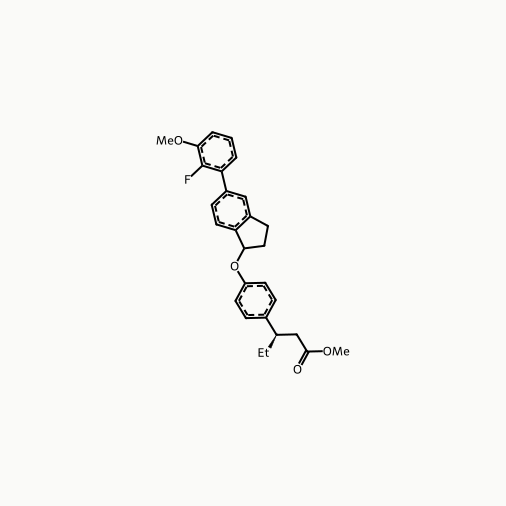 CC[C@H](CC(=O)OC)c1ccc(OC2CCc3cc(-c4cccc(OC)c4F)ccc32)cc1